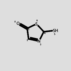 O=C1C=NC(S)S1